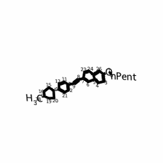 CCCCCOc1ccc2cc(C#Cc3ccc([C@H]4CC[C@H](C)CC4)cc3)ccc2c1